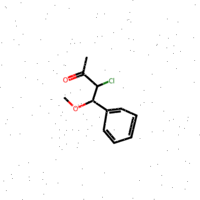 COC(c1ccccc1)C(Cl)C(C)=O